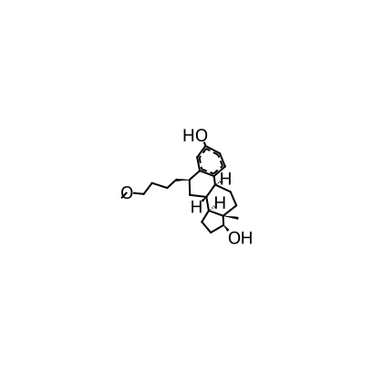 COCCCC[C@@H]1C[C@@H]2[C@H](CC[C@]3(C)[C@@H](O)CC[C@@H]23)c2ccc(O)cc21